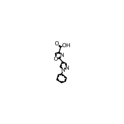 O=C(O)c1coc(-c2cnn(-c3ccccc3)c2)n1